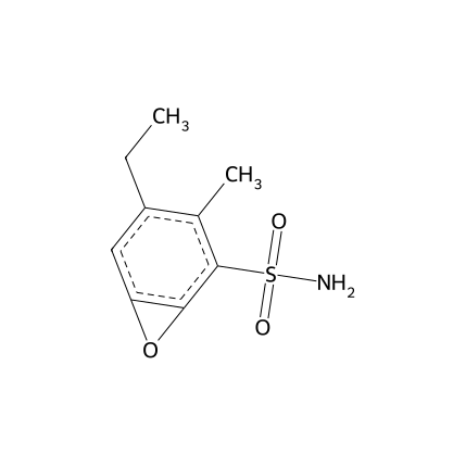 CCc1cc2c(c(S(N)(=O)=O)c1C)O2